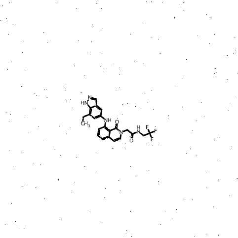 CCc1cc(Nc2cccc3ccn(CC(=O)NCC(F)(F)F)c(=O)c23)cc2cn[nH]c12